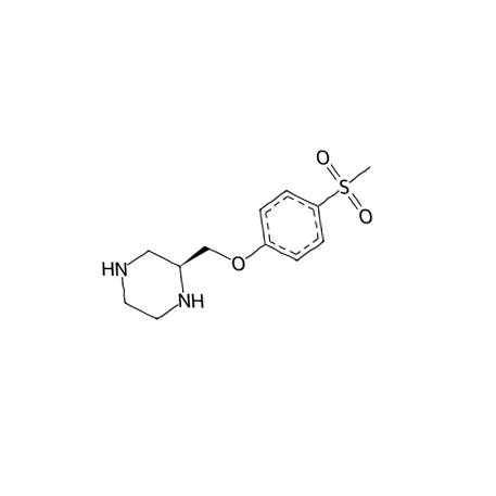 CS(=O)(=O)c1ccc(OC[C@@H]2CNCCN2)cc1